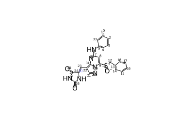 Cc1cccc(Nc2cc([S+]([O-])Cc3ccccc3)n3ncc(/C=C4\NC(=O)NC4=O)c3n2)c1